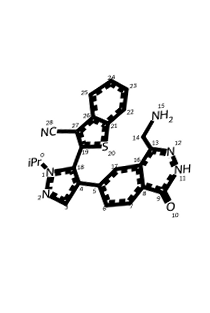 CC(C)n1ncc(-c2ccc3c(=O)[nH]nc(CN)c3c2)c1-c1sc2ccccc2c1C#N